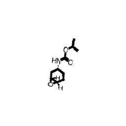 CC(C)OC(=O)N[C@@H]1CC[C@@H]2O[C@@H]2C1